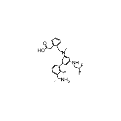 C[C@@H](N)c1cccc(-c2cc(NCC(F)F)cc(N(C)Cc3ccccc3CC(=O)O)c2)c1F